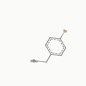 CCC[CH]Cc1ccc(Br)cc1